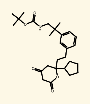 CC(C)(C)OC(=O)NCC(C)(C)c1cccc(CCC2(C3CCCC3)CC(=O)CC(=O)O2)c1